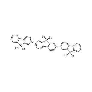 CCC1(CC)c2ccccc2-c2ccc(-c3ccc4c(c3)C(CC)(CC)c3cc(-c5ccc6c(c5)C(CC)(CC)c5ccccc5-6)ccc3-4)cc21